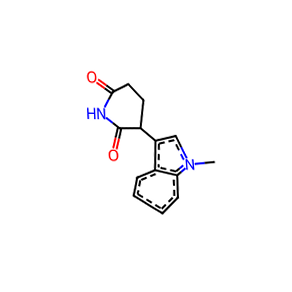 Cn1cc(C2CCC(=O)NC2=O)c2ccccc21